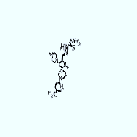 CN1CCN(c2cc(N3CCCN(c4ccc(C(F)(F)F)cn4)CC3)c(F)cc2/C=N/NC(N)=S)CC1